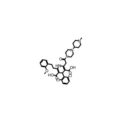 COc1ccccc1CCC1=C(C(=O)O)C(c2c(Cl)cccc2Cl)C(C(=O)O)=C(CC(=O)N2CCN(C3CCN(C)CC3)CC2)N1